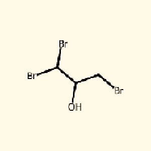 OC(CBr)C(Br)Br